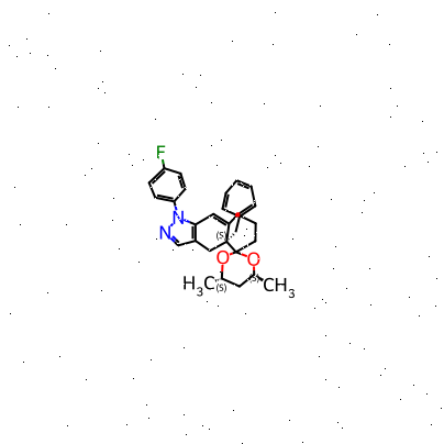 C[C@H]1C[C@H](C)OC2(CCCC3=Cc4c(cnn4-c4ccc(F)cc4)C[C@@]32Cc2ccccc2)O1